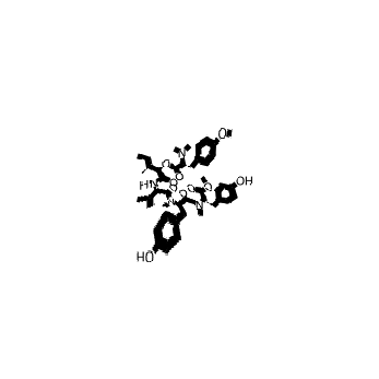 CC[C@@H](C)[C@@H](OC(=O)[C@@H](Cc1ccc(OC)cc1)N(C)C)C(=O)N[C@@H](C(=O)N(C)C(Cc1ccc(O)cc1)C(=O)N(C)[C@@H](Cc1ccc(O)cc1)C(=O)OC)C(C)C